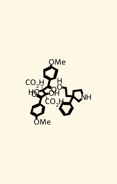 COc1ccc(C(=O)[C@@](O)(C(=O)O)[C@](O)(C(=O)O)C(=O)c2ccc(OC)cc2)cc1.OCCC1(c2ccccc2)CCNC1